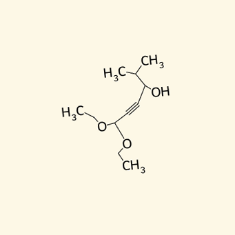 CCOC(C#CC(O)C(C)C)OCC